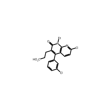 CCn1c(=O)c(CCC(=O)O)c(-c2cccc(Cl)c2)c2ccc(Cl)nc21